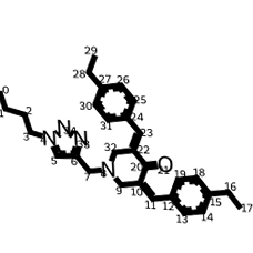 CCCCn1cc(CN2C/C(=C/c3ccc(CC)cc3)C(=O)/C(=C/c3ccc(CC)cc3)C2)nn1